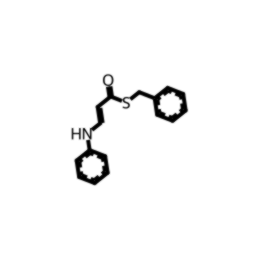 O=C(C=CNc1ccccc1)SCc1ccccc1